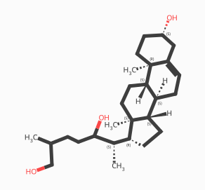 CC(CO)CCC(O)[C@@H](C)[C@H]1CC[C@H]2[C@@H]3CC=C4C[C@@H](O)CC[C@]4(C)[C@H]3CC[C@]12C